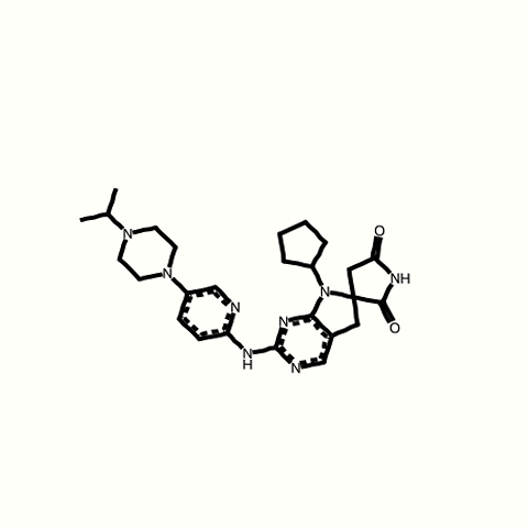 CC(C)N1CCN(c2ccc(Nc3ncc4c(n3)N(C3CCCC3)C3(CC(=O)NC3=O)C4)nc2)CC1